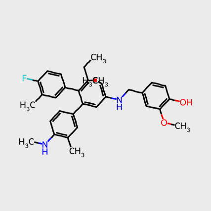 C\C=C(/C=C(\C(=C(/C)CC)c1ccc(F)c(C)c1)c1ccc(NC)c(C)c1)NCc1ccc(O)c(OC)c1